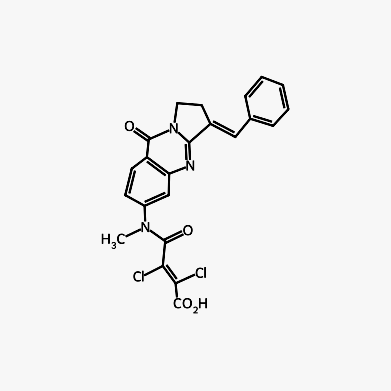 CN(C(=O)C(Cl)=C(Cl)C(=O)O)c1ccc2c(=O)n3c(nc2c1)C(=Cc1ccccc1)CC3